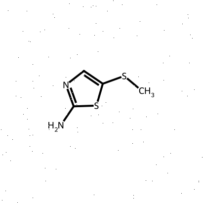 CSc1cnc(N)s1